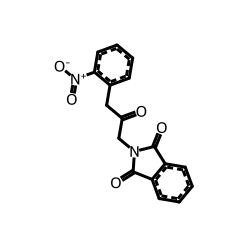 O=C(Cc1ccccc1[N+](=O)[O-])CN1C(=O)c2ccccc2C1=O